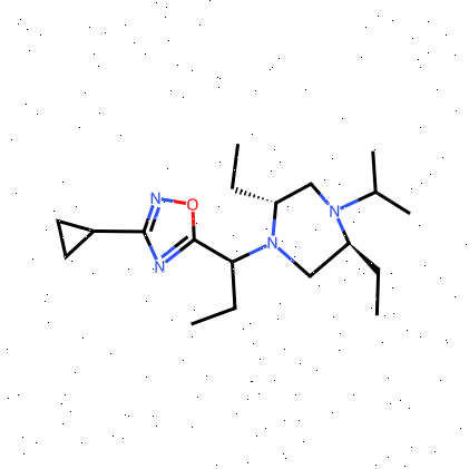 CCC(c1nc(C2CC2)no1)N1C[C@H](CC)N(C(C)C)C[C@H]1CC